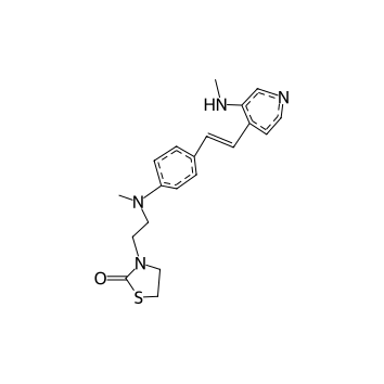 CNc1cnccc1/C=C/c1ccc(N(C)CCN2CCSC2=O)cc1